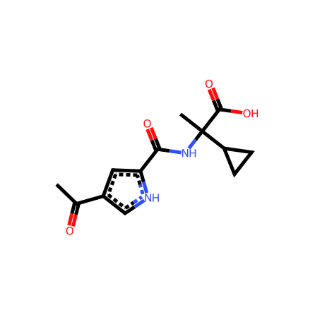 CC(=O)c1c[nH]c(C(=O)NC(C)(C(=O)O)C2CC2)c1